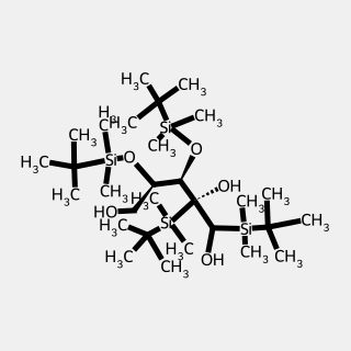 CC(C)(C)[Si](C)(C)O[C@H]([C@@H](CO)O[Si](C)(C)C(C)(C)C)[C@@](O)(C(O)[Si](C)(C)C(C)(C)C)[Si](C)(C)C(C)(C)C